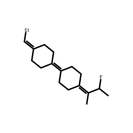 CCC=C1CCC(=C2CCC(=C(C)C(C)F)CC2)CC1